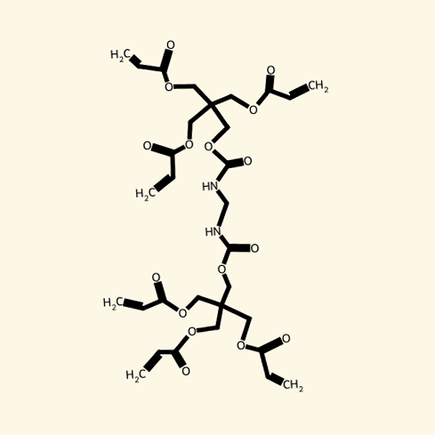 C=CC(=O)OCC(COC(=O)C=C)(COC(=O)C=C)COC(=O)NCNC(=O)OCC(COC(=O)C=C)(COC(=O)C=C)COC(=O)C=C